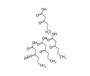 CCCC(=O)CC(=O)O.CCCC(=O)CC(=O)O.CCCC(=O)CC(=O)O.CCCC(=O)CC(=O)O.[Zr].[Zr]